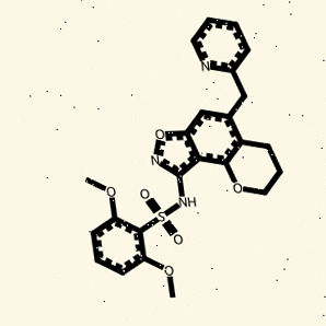 COc1cccc(OC)c1S(=O)(=O)Nc1noc2cc(Cc3ccccn3)c3c(c12)OCCC3